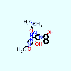 C=CC(=O)N1CCN(c2nc(OCCN(C)C)nc3c2CCN(c2cc(O)cc4ccccc24)C3)[C@@H](CO)C1